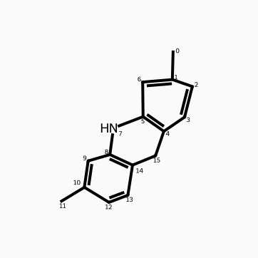 Cc1ccc2c(c1)Nc1cc(C)ccc1C2